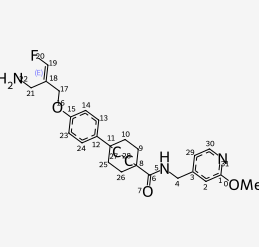 COc1cc(CNC(=O)C23CCC(c4ccc(OC/C(=C/F)CN)cc4)(CC2)CC3)ccn1